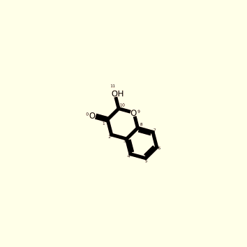 O=C1Cc2ccccc2OC1O